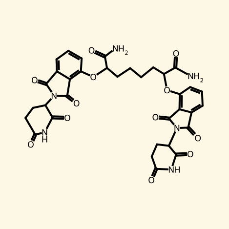 NC(=O)C(CCCCC(Oc1cccc2c1C(=O)N(C1CCC(=O)NC1=O)C2=O)C(N)=O)Oc1cccc2c1C(=O)N(C1CCC(=O)NC1=O)C2=O